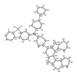 CC1(C)c2ccccc2-c2ccc(N(c3ccc(-c4ccccc4)cc3)c3ccc(-c4cc5oc6ccc7ccccc7c6c5c5c4oc4ccccc45)cc3)cc21